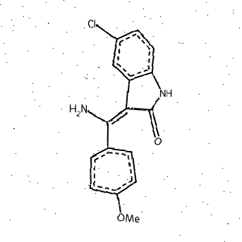 COc1ccc(C(N)=C2C(=O)Nc3ccc(Cl)cc32)cc1